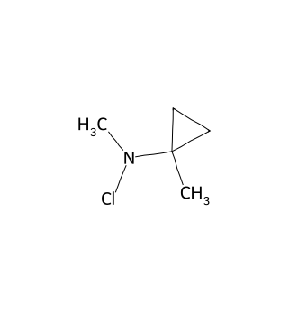 CN(Cl)C1(C)CC1